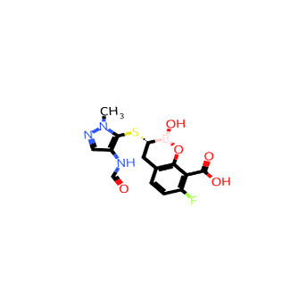 Cn1ncc(NC=O)c1S[C@H]1Cc2ccc(F)c(C(=O)O)c2OB1O